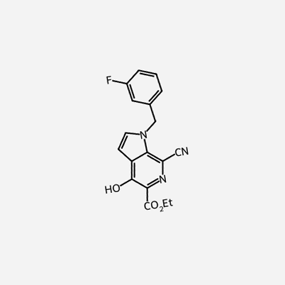 CCOC(=O)c1nc(C#N)c2c(ccn2Cc2cccc(F)c2)c1O